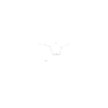 N#Cc1cc(Cl)cn1O